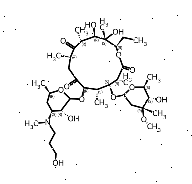 CC[C@H]1OC(=O)[C@H](C)[C@@H](OC2C[C@@](C)(OC)[C@@H](O)[C@H](C)O2)[C@H](C)[C@@H](OC2O[C@H](C)C[C@H](N(C)CCCO)[C@H]2O)C(=O)C[C@@H](C)C(=O)[C@H](C)[C@@H](O)[C@]1(C)O